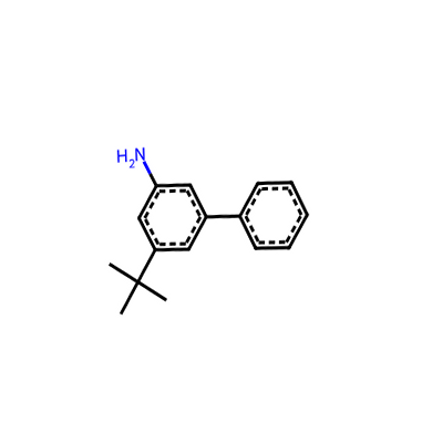 CC(C)(C)c1cc(N)cc(-c2ccccc2)c1